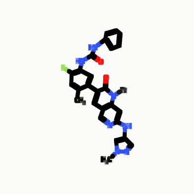 CCn1c(=O)c(-c2cc(NC(=O)Nc3ccccc3)c(F)cc2C)cc2cnc(Nc3cnn(C)c3)cc21